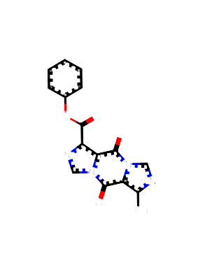 Cc1ncn2c(=O)c3c(C(=O)Oc4ccccc4)ncn3c(=O)c12